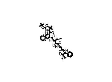 CSCC(NC(=O)[C@@H]1CC2(CN1C(=O)[C@@H](NC(=O)OC(C)(C)C)C(C)(C)C)SCCCS2)C(=O)C(=O)NCC(=O)NC(C(=O)N(C)C)c1ccccc1